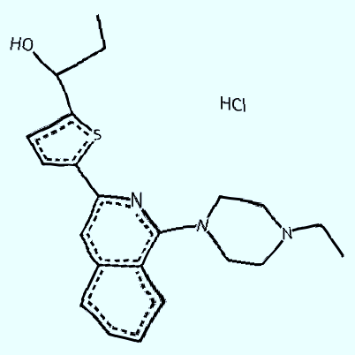 CCC(O)c1ccc(-c2cc3ccccc3c(N3CCN(CC)CC3)n2)s1.Cl